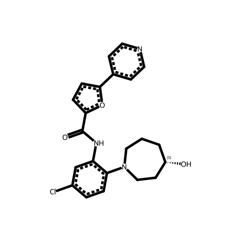 O=C(Nc1cc(Cl)ccc1N1CCC[C@H](O)CC1)c1ccc(-c2ccncc2)o1